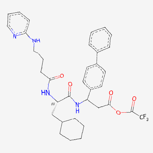 O=C(CCCNc1ccccn1)N[C@@H](CC1CCCCC1)C(=O)NC(CC(=O)OC(=O)C(F)(F)F)c1ccc(-c2ccccc2)cc1